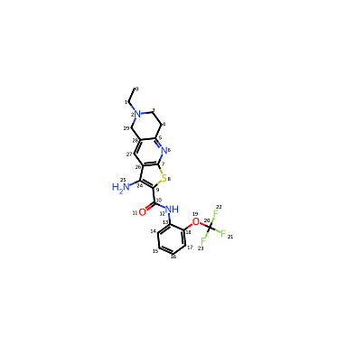 CCN1CCc2nc3sc(C(=O)Nc4ccccc4OC(F)(F)F)c(N)c3cc2C1